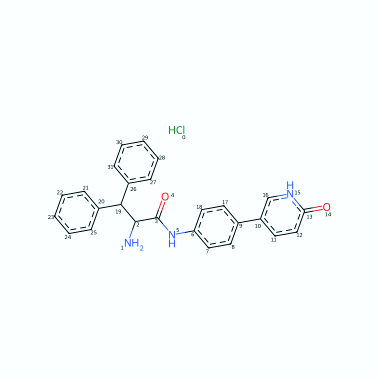 Cl.NC(C(=O)Nc1ccc(-c2ccc(=O)[nH]c2)cc1)C(c1ccccc1)c1ccccc1